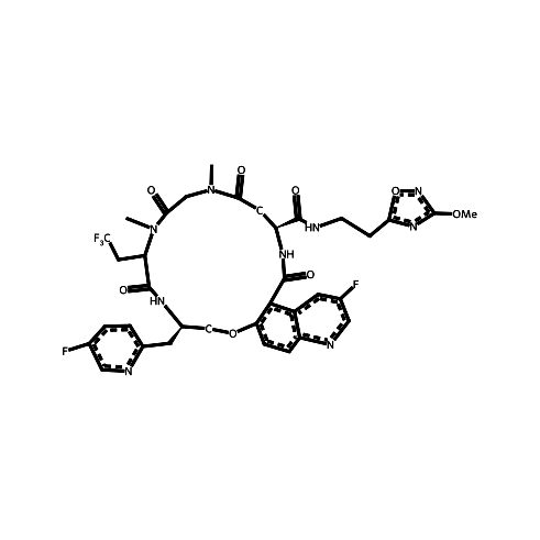 COc1noc(CCNC(=O)[C@@H]2CC(=O)N(C)CC(=O)N(C)C(CC(F)(F)F)C(=O)N[C@H](Cc3ccc(F)cn3)COc3ccc4ncc(F)cc4c3C(=O)N2)n1